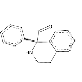 O=[C][C@@]1(c2ccccc2)NCCc2ccccc21